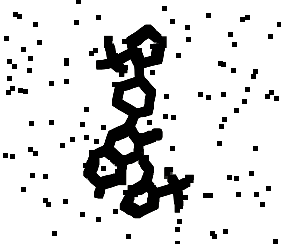 Cc1cnc2cc(C3CCC(c4cnccc4C(C)(F)F)CC3)c(=O)n(Cc3ncccc3C(F)(F)F)c2n1